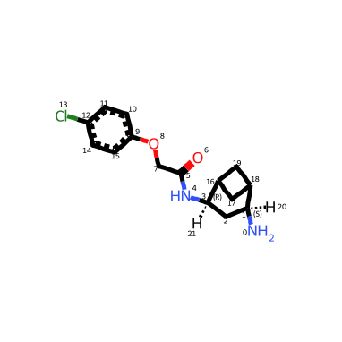 N[C@H]1C[C@@H](NC(=O)COc2ccc(Cl)cc2)C2CC1C2